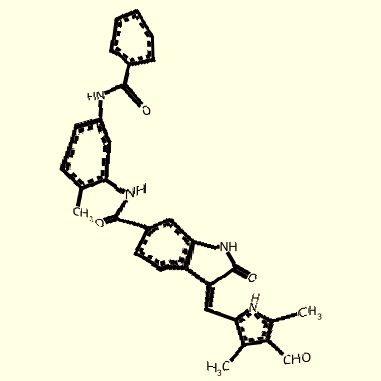 Cc1ccc(NC(=O)c2ccccc2)cc1NC(=O)c1ccc2c(c1)NC(=O)/C2=C\c1[nH]c(C)c(C=O)c1C